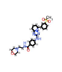 CS(=O)(=O)c1cccc(-c2cccc3nc(Nc4ccc(C(=O)NCCN5CCOCC5)cc4)nn23)c1